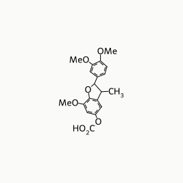 COc1ccc(C2Oc3c(OC)cc(OC(=O)O)cc3C2C)cc1OC